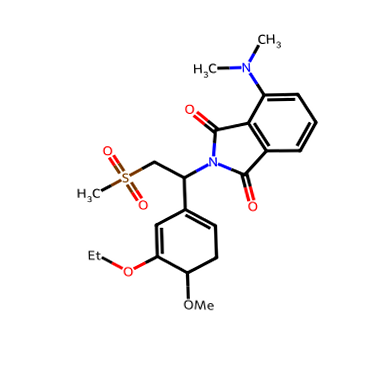 CCOC1=CC(C(CS(C)(=O)=O)N2C(=O)c3cccc(N(C)C)c3C2=O)=CCC1OC